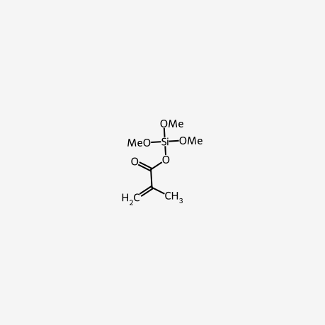 C=C(C)C(=O)O[Si](OC)(OC)OC